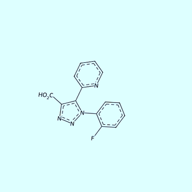 O=C(O)c1nnn(-c2ccccc2F)c1-c1ccccn1